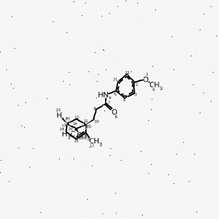 COc1ccc(NC(=O)CC[C@@]23C[C@@H](CC=C2C)C3(C)C)cc1